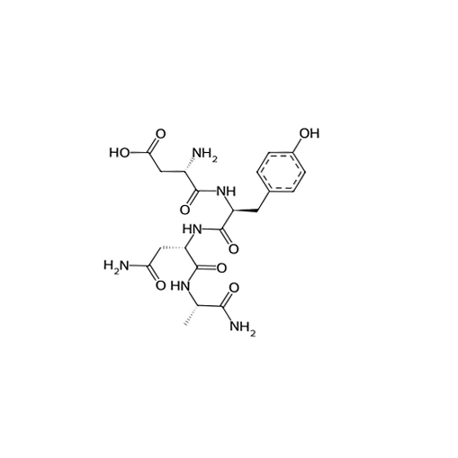 C[C@H](NC(=O)[C@H](CC(N)=O)NC(=O)[C@H](Cc1ccc(O)cc1)NC(=O)[C@@H](N)CC(=O)O)C(N)=O